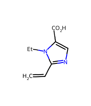 C=Cc1ncc(C(=O)O)n1CC